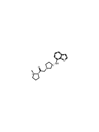 C[C@@H]1CCCN1C(=O)CN1CC[C@H](Nc2cccc3ccoc23)C1